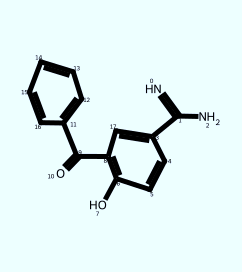 N=C(N)c1ccc(O)c(C(=O)c2ccccc2)c1